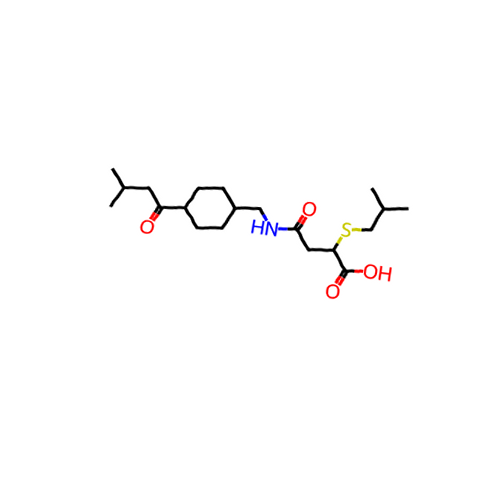 CC(C)CSC(CC(=O)NCC1CCC(C(=O)CC(C)C)CC1)C(=O)O